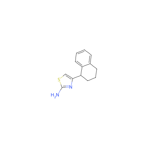 Nc1nc(C2CCCc3ccccc32)cs1